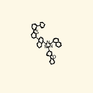 c1ccc(-c2cccc3c2sc2c(-c4ccc(-c5nc(-c6ccc7c(c6)oc6ccccc67)nc(-c6cccc7ccccc67)n5)c5ccccc45)cccc23)cc1